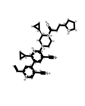 C=Cc1cc(-c2cc(C#N)c(N3CCN(C(=O)CCC4CCCO4)[C@H](C4CC4)C3)nc2C2CC2)c(C#N)cn1